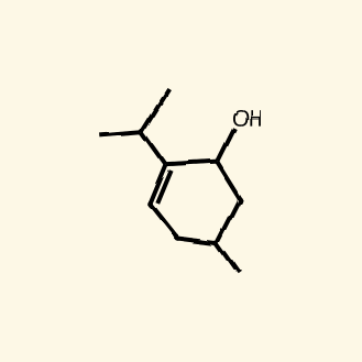 CC1CC=C(C(C)C)C(O)C1